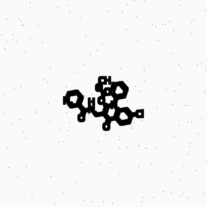 COC(=O)Oc1c(CNC(=O)c2cccnc2)c(=O)c2ccc(Cl)cc2n1-c1ccccc1